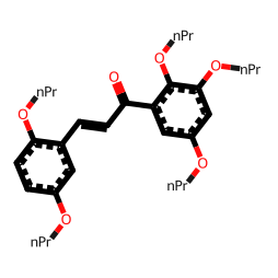 CCCOc1ccc(OCCC)c(C=CC(=O)c2cc(OCCC)cc(OCCC)c2OCCC)c1